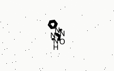 O=c1[nH]cnc2c1ncn2-c1ccccc1